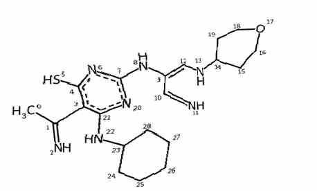 CC(=N)c1c(S)nc(N/C(C=N)=C/NC2CCOCC2)nc1NC1CCCCC1